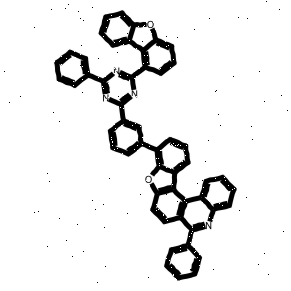 c1ccc(-c2nc(-c3cccc(-c4cccc5c4oc4ccc6c(-c7ccccc7)nc7ccccc7c6c45)c3)nc(-c3cccc4oc5ccccc5c34)n2)cc1